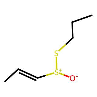 C/C=C/[S+]([O-])SCCC